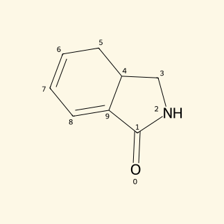 O=C1NCC2CC=CC=C12